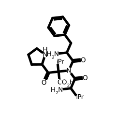 CC(C)C(N)C(=O)N(C(=O)C(N)Cc1ccccc1)C(C(=O)O)(C(=O)C1CCCN1)C(C)C